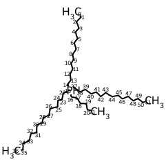 CCCCCCCCCCCCCCC[PH](CCCCCC)(CCCCCCCCCCCCCCC)CCCCCCCCCCCCCCC